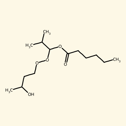 CCCCCC(=O)OC(OOCCC(C)O)C(C)C